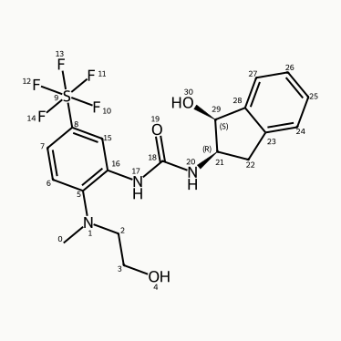 CN(CCO)c1ccc(S(F)(F)(F)(F)F)cc1NC(=O)N[C@@H]1Cc2ccccc2[C@@H]1O